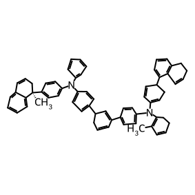 CC1=C(N(C2=CCC(c3cccc4c3C=CCC4)C=C2)c2ccc(C3=CC(c4ccc(N(c5ccccc5)c5ccc([C@]6(C)CC=Cc7ccccc76)cc5)cc4)CC=C3)cc2)CCC=C1